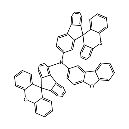 c1ccc2c(c1)Oc1ccccc1C21c2ccccc2-c2c(N(c3ccc4c(c3)C3(c5ccccc5Sc5ccccc53)c3ccccc3-4)c3ccc4oc5ccccc5c4c3)cccc21